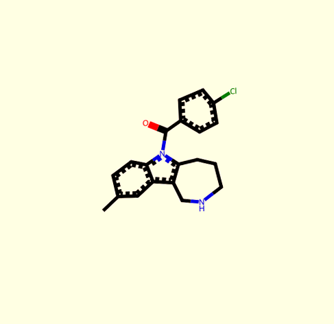 Cc1ccc2c(c1)c1c(n2C(=O)c2ccc(Cl)cc2)CCCNC1